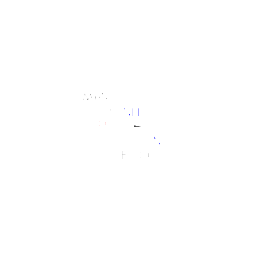 CCOC(=O)N1CCC[C@@H]1CNC(=O)NC